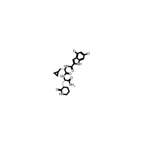 NC(=O)[C@H](C[C@@H]1CCCNC1=O)NC(=O)[C@H](CC1CC1)NC(=O)c1cc2c(F)cc(Cl)cc2[nH]1